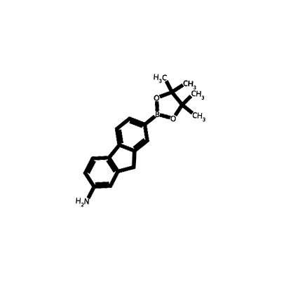 CC1(C)OB(c2ccc3c(c2)Cc2cc(N)ccc2-3)OC1(C)C